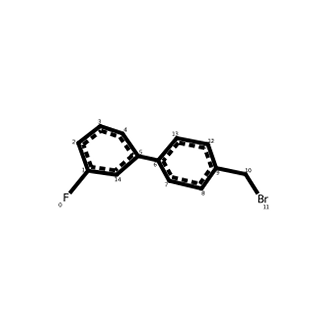 Fc1cccc(-c2ccc(CBr)cc2)c1